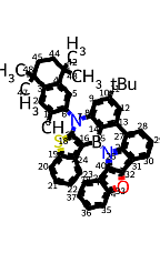 Cc1cc2c(cc1N1c3cc(C(C)(C)C)cc4c3B(c3c1sc1ccccc31)n1c3c-4cccc3c3oc4ccccc4c31)C(C)(C)CCC2(C)C